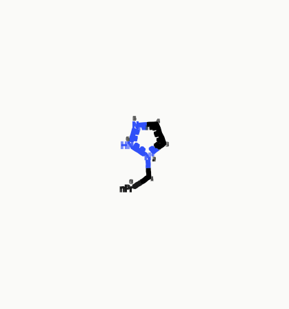 CCCC[n+]1ccn[nH]1